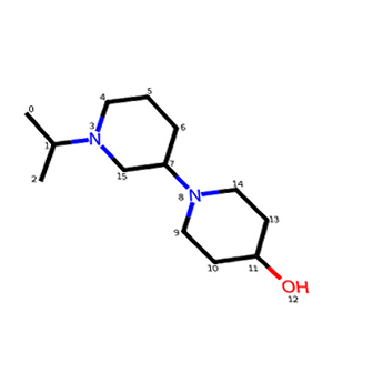 CC(C)N1CCCC(N2CCC(O)CC2)C1